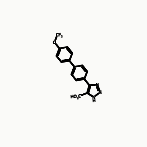 O=C(O)c1[nH]nnc1-c1ccc(-c2ccc(OC(F)(F)F)cc2)cc1